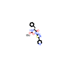 CC(C)(C)OC(=O)N[C@@H](Cc1ccccc1)C(=O)Nc1nnc(-c2ccncc2)s1